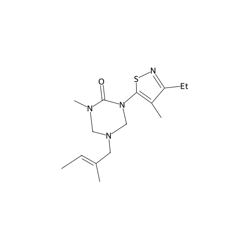 CC=C(C)CN1CN(C)C(=O)N(c2snc(CC)c2C)C1